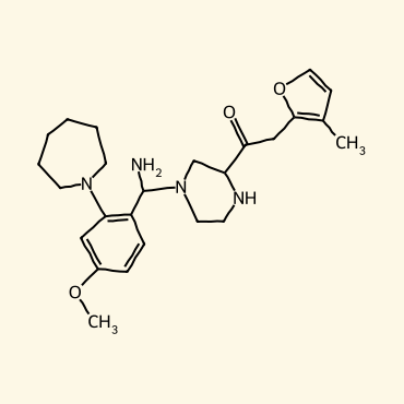 COc1ccc(C(N)N2CCNC(C(=O)Cc3occc3C)C2)c(N2CCCCCC2)c1